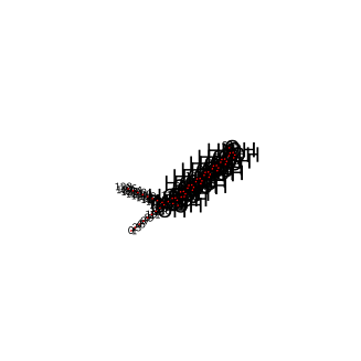 CCCCCCCCCCCCC/C=C/[C@@H](O)[C@H](CO[C@@H]1OC(CO)[C@@H](O[C@@H]2OC(CO)[C@H](O[C@@H]3OC(CO)[C@H](O)[C@H](O[C@H]4OC(CO)[C@H](O)[C@H](O[C@H]5OC(CO)[C@H](O)[C@H](O[C@H]6OC(CO)[C@H](O)[C@H](O[C@H]7OC(CO)[C@H](O)[C@H](O[C@@H]8OC(CO)[C@H](O)[C@H](O)C8NC(C)=O)C7O)C6O)C5O)C4O)C3O)[C@H](O)C2O)[C@H](O)C1O)NC(=O)CCCCCCCCCCCCCCC